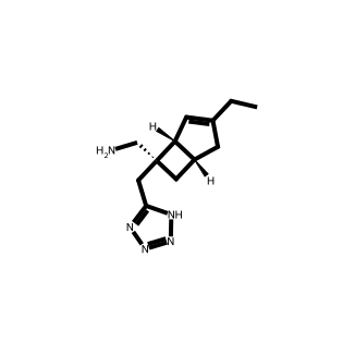 CCC1=C[C@@H]2[C@H](C1)C[C@@]2(CN)Cc1nnn[nH]1